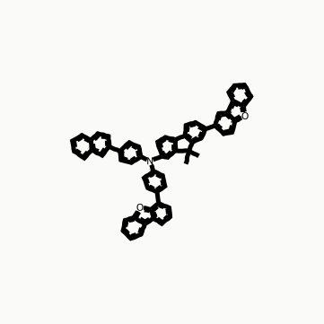 CC1(C)c2cc(-c3ccc4oc5ccccc5c4c3)ccc2-c2ccc(N(c3ccc(-c4ccc5ccccc5c4)cc3)c3ccc(-c4cccc5c4oc4ccccc45)cc3)cc21